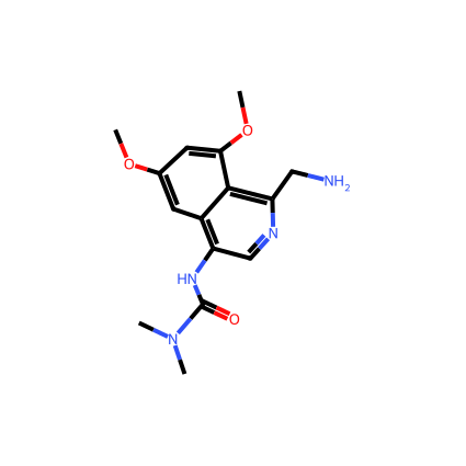 COc1cc(OC)c2c(CN)ncc(NC(=O)N(C)C)c2c1